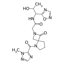 CC(O)C(NC(=O)CN1CC2(CCCN2C(=O)c2ncnn2C)C1=O)c1ncno1